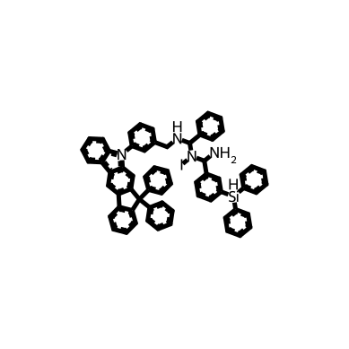 NC(c1cccc([SiH](c2ccccc2)c2ccccc2)c1)N(I)C(NCc1cccc(-n2c3ccccc3c3cc4c(cc32)C(c2ccccc2)(c2ccccc2)c2ccccc2-4)c1)c1ccccc1